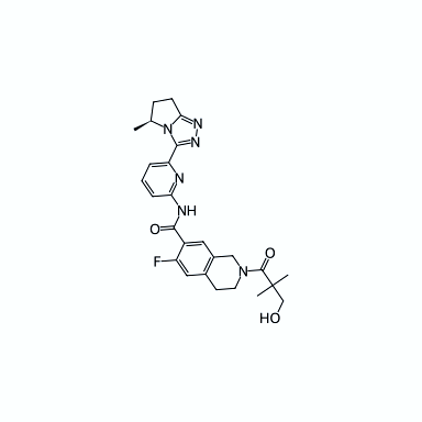 C[C@H]1CCc2nnc(-c3cccc(NC(=O)c4cc5c(cc4F)CCN(C(=O)C(C)(C)CO)C5)n3)n21